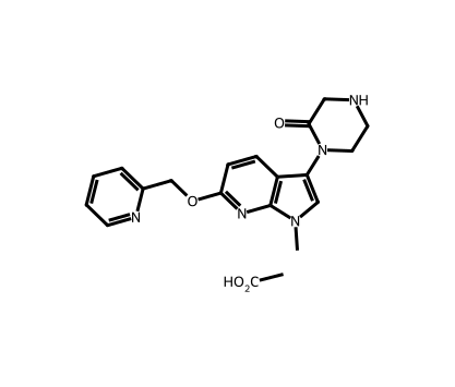 CC(=O)O.Cn1cc(N2CCNCC2=O)c2ccc(OCc3ccccn3)nc21